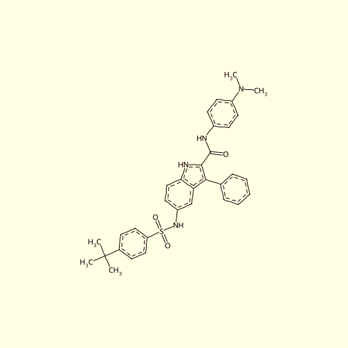 CN(C)c1ccc(NC(=O)c2[nH]c3ccc(NS(=O)(=O)c4ccc(C(C)(C)C)cc4)cc3c2-c2ccccc2)cc1